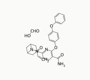 C=CC(=O)N1C2CC1CN(c1ccc(C(N)=O)c(Oc3ccc(Oc4ccccc4)cc3)n1)C2.O=CO